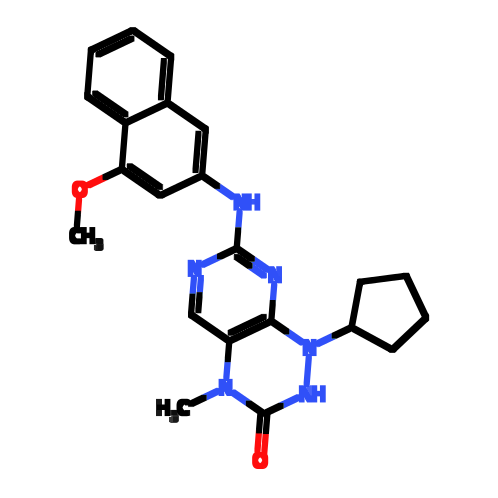 COc1cc(Nc2ncc3c(n2)N(C2CCCC2)NC(=O)N3C)cc2ccccc12